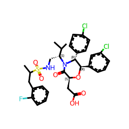 CC(C)[C@@H](CNS(=O)(=O)C(C)Cc1ccccc1F)N1C(=O)[C@H](CC(=O)O)O[C@H](c2cccc(Cl)c2)[C@H]1c1ccc(Cl)cc1